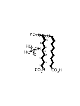 CCCCCCCC/C=C\CCCCCCCC(=O)O.CCCCCCCC/C=C\CCCCCCCC(=O)O.O=P(O)(O)O